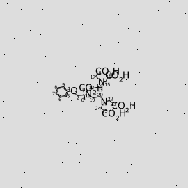 C[C@](COc1ccccc1)(C(=O)O)N(CCN(CC(=O)O)CC(=O)O)CCN(CC(=O)O)CC(=O)O